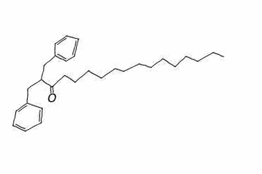 CCCCCCCCCCCCCCC(=O)C(Cc1ccccc1)Cc1ccccc1